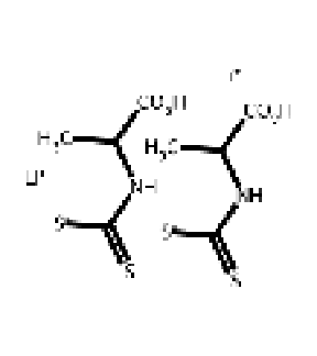 CC(NC(=S)[S-])C(=O)O.CC(NC(=S)[S-])C(=O)O.[Li+].[Li+]